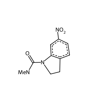 CNC(=O)N1CCc2ccc([N+](=O)[O-])cc21